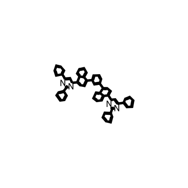 c1ccc(-c2cc(-c3ccc(-c4cccc(-c5ccc(-c6cc(-c7ccccc7)nc(-c7ccccc7)n6)c6ccccc56)c4)c4ccccc34)nc(-c3ccccc3)n2)cc1